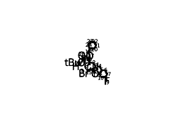 CC(CN(Cc1ccc(F)cc1)C(=O)CBr)N(OCc1ccccc1)C(=O)OC(C)(C)C